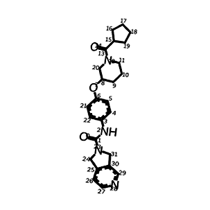 O=C(Nc1ccc(OC2CCCN(C(=O)C3CCCC3)C2)cc1)N1Cc2ccncc2C1